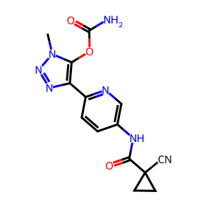 Cn1nnc(-c2ccc(NC(=O)C3(C#N)CC3)cn2)c1OC(N)=O